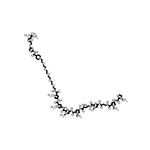 Cn1cc(NC(=O)c2cc(NC(=O)c3nc(NC(=O)c4cc(NC(=O)[C@@H](N)CCNC(=O)c5nc(NC(=O)CCNC(=O)c6cc(NC(=O)c7nccn7C)cn6C)cn5C)cn4C)cn3C)cn2C)cc1C(=O)NCCOCCOCCOCCOCCOCCN1CCC(C(=O)Nc2ncc(SCc3ncc(C(C)(C)C)o3)s2)CC1